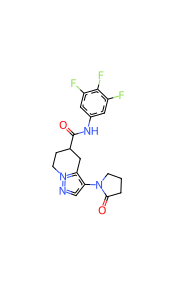 O=C(Nc1cc(F)c(F)c(F)c1)C1CCn2ncc(N3CCCC3=O)c2C1